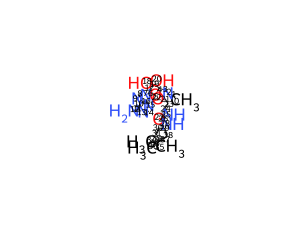 CCN(C[C@H]1OC(n2cnc3c(N)ncnc32)[C@H](O)[C@@H]1O)C(=O)CCNC(=O)Nc1ccc(C(C)(C)C)cc1